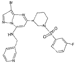 O=S(=O)(c1cccc(F)c1)N1CCCC(c2cc(NCc3cccnc3)n3ncc(Br)c3n2)C1